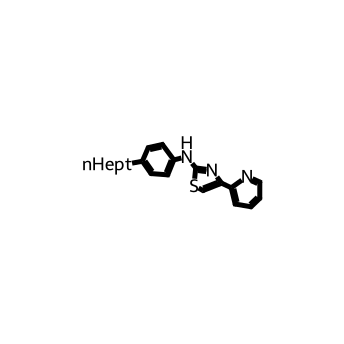 CCCCCCCc1ccc(Nc2nc(-c3ccccn3)cs2)cc1